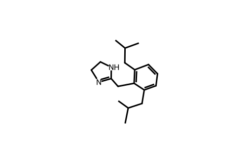 CC(C)Cc1cccc(CC(C)C)c1CC1=NCCN1